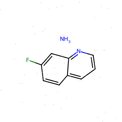 Fc1ccc2cccnc2c1.N